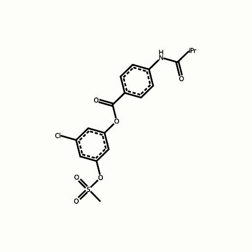 CC(C)C(=O)Nc1ccc(C(=O)Oc2cc(Cl)cc(OS(C)(=O)=O)c2)cc1